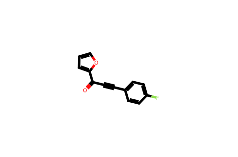 O=C(C#Cc1ccc(F)cc1)c1ccco1